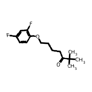 CC(C)(C)C(=O)CCCCOc1ccc(F)cc1F